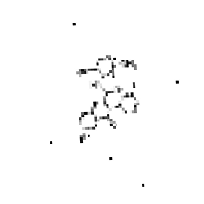 C[C@H](Nc1nc(N)ncc1C#N)c1cc2ccc(F)cn2c(=O)c1-c1cccc(F)c1